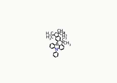 CC1(C)CC(C)(C)c2cc3c(cc21)B1c2ccccc2N(c2ccccc2)c2cccc(c21)C3(C)C